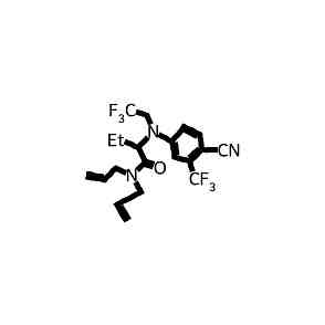 C=CCN(CC=C)C(=O)C(CC)N(CC(F)(F)F)c1ccc(C#N)c(C(F)(F)F)c1